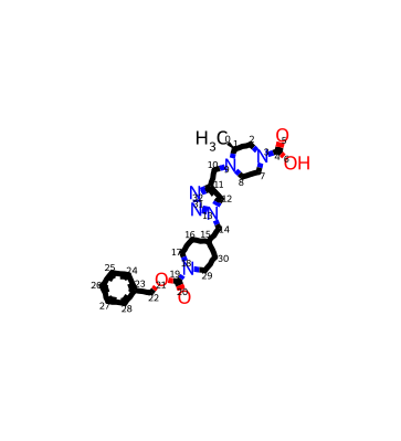 C[C@H]1CN(C(=O)O)CCN1Cc1cn(CC2CCN(C(=O)OCc3ccccc3)CC2)nn1